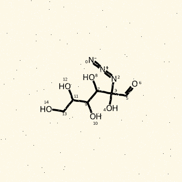 [N-]=[N+]=NC(O)(C=O)C(O)C(O)C(O)CO